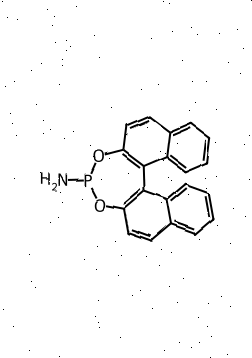 Np1oc2ccc3ccccc3c2c2c(ccc3ccccc32)o1